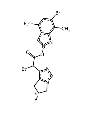 CCC(C(=O)On1cc2c(C(F)(F)F)cc(Br)c(C)c2n1)c1ncn2c1C[C@@H](F)C2